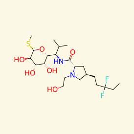 CCC(F)(F)CC[C@@H]1C[C@@H](C(=O)N[C@H](C(C)C)[C@H]2O[C@H](SC)[C@H](O)[C@@H](O)[C@H]2O)N(CCO)C1